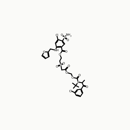 CC(C(=O)c1cccc(Cl)c1)N(C(=O)OCOC(=O)CS(=O)(=O)CCOC(=O)c1cc(S(N)(=O)=O)c(Cl)cc1NCc1ccco1)C(C)(C)C